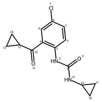 O=C(Nc1ccc(Cl)cc1C(=O)C1CC1)NC1CC1